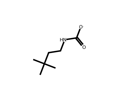 CC(C)(C)CCNC([O])=O